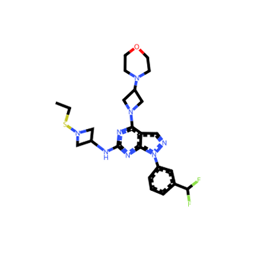 CCSN1CC(Nc2nc(N3CC(N4CCOCC4)C3)c3cnn(-c4cccc(C(F)F)c4)c3n2)C1